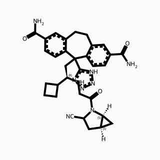 N#CC1C[C@@H]2C[C@@H]2N1C(=O)CN[C@H](CC1(c2nnn[nH]2)c2ccc(C(N)=O)cc2CCc2cc(C(N)=O)ccc21)C1CCC1